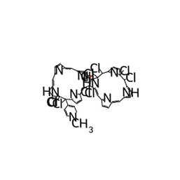 CN1C=CC(C2(Cl)C3=NC(Cl)(C=C3)C(Cl)(C3C4=CC5=NC(=Cc6ccc([nH]6)C(Cl)C6(Cl)C=CC(=N6)C(Cl)C(Cl)(N4)C3Cl)C=C5)c3ccc([nH]3)C=C3C=CC(=N3)C=C3[CH]C(Cl)C2(Cl)N3)=CC1